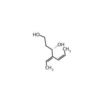 C/C=C\C(=C/C)[C@@H](O)CCO